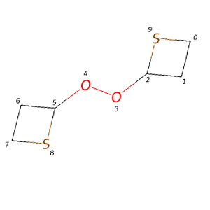 C1CC(OOC2CCS2)S1